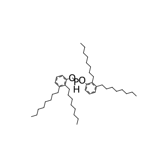 CCCCCCCCc1cccc(OPOc2cccc(CCCCCCCC)c2CCCCCCCC)c1CCCCCCCC